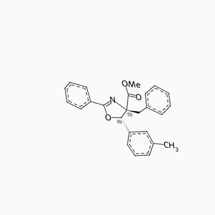 COC(=O)[C@@]1(Cc2ccccc2)N=C(c2ccccc2)O[C@H]1c1cccc(C)c1